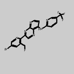 FCc1cc(Br)cnc1-c1cnc2c(Nc3ccc(C(F)(F)F)cn3)ccnc2n1